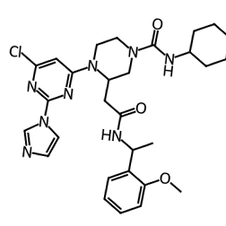 COc1ccccc1C(C)NC(=O)CC1CN(C(=O)NC2CCCCC2)CCN1c1cc(Cl)nc(-n2ccnc2)n1